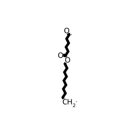 [CH2]CCCCCCCCCOC(=O)CCCC[C]=O